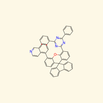 c1ccc(-c2nc(-c3ccccc3)nc(-c3cccc4c3Oc3c(-c5cccc6cnccc56)cccc3C43c4ccccc4-c4ccccc43)n2)cc1